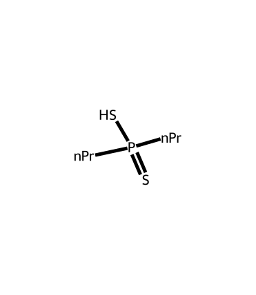 CCCP(=S)(S)CCC